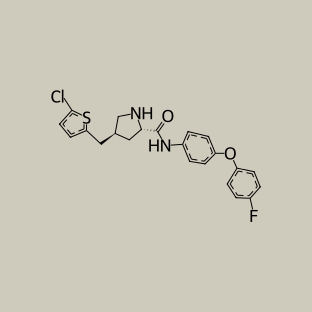 O=C(Nc1ccc(Oc2ccc(F)cc2)cc1)[C@@H]1C[C@@H](Cc2ccc(Cl)s2)CN1